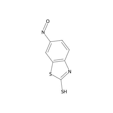 O=Nc1ccc2nc(S)sc2c1